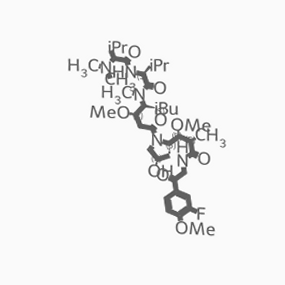 CC[C@H](C)C([C@@H](CC(=O)N1C[C@@H](O)C[C@H]1[C@H](OC)[C@@H](C)C(=O)NCC(=O)c1ccc(OC)c(F)c1)OC)N(C)C(=O)[C@@H](NC(=O)C(C(C)C)N(C)C)C(C)C